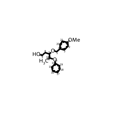 COc1ccc(COC(CCO)[C@H](C)Oc2ccccc2)cc1